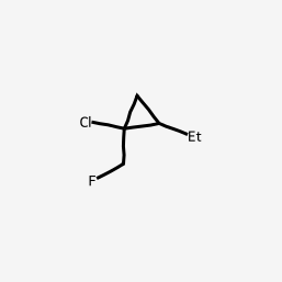 CCC1CC1(Cl)CF